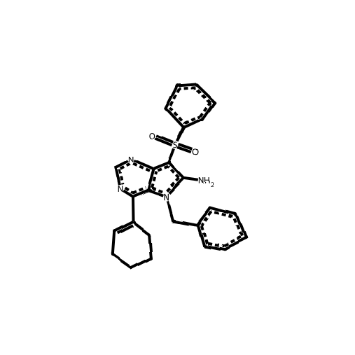 Nc1c(S(=O)(=O)c2ccccc2)c2ncnc(C3=CCCCC3)c2n1Cc1ccccc1